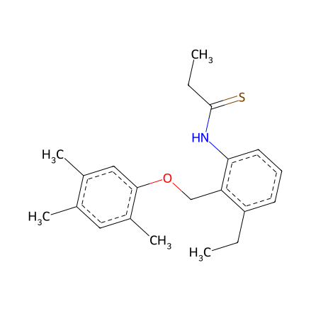 CCC(=S)Nc1cccc(CC)c1COc1cc(C)c(C)cc1C